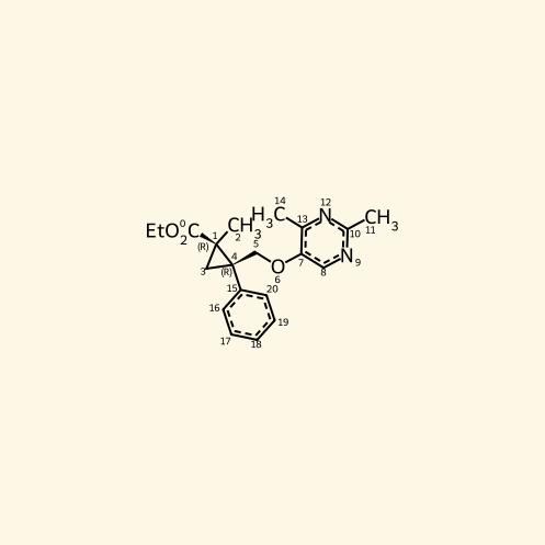 CCOC(=O)[C@]1(C)C[C@@]1(COc1cnc(C)nc1C)c1ccccc1